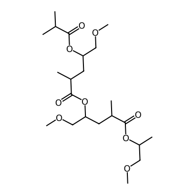 COCC(C)OC(=O)C(C)CC(COC)OC(=O)C(C)CC(COC)OC(=O)C(C)C